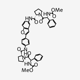 COC(=O)N[C@@H](C(=O)N1CCC[C@H]1C(=O)Nc1ccc(-c2cc3cc(NC(=O)[C@@H]4CCCN4C(=O)[C@H](NC(=O)OC)c4ccccc4)ccc3o2)cc1)c1ccccc1